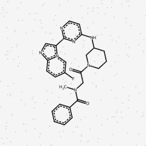 CN(CC(=O)N1CCCC(Nc2ccnc(-c3cnc4ccc(F)cn34)n2)C1)C(=O)c1ccccc1